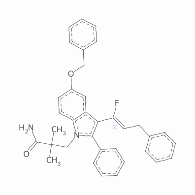 CC(C)(Cn1c(-c2ccccc2)c(/C(F)=C/Cc2ccccc2)c2cc(OCc3ccccc3)ccc21)C(N)=O